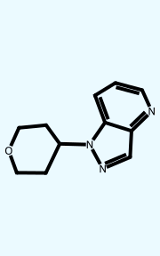 c1cnc2cnn(C3CCOCC3)c2c1